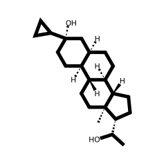 CC(O)[C@H]1CC[C@H]2[C@@H]3CC[C@@H]4C[C@](O)(C5CC5)CC[C@@H]4[C@H]3CC[C@]12C